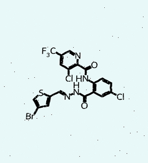 O=C(NN=Cc1cc(Br)cs1)c1cc(Cl)ccc1NC(=O)c1ncc(C(F)(F)F)cc1Cl